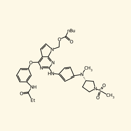 CCCCC(=O)OCn1ccc2c(Oc3cccc(NC(=O)CC)c3)nc(Nc3ccc(N(C)[C@H]4CCN(S(C)(=O)=O)C4)cc3)nc21